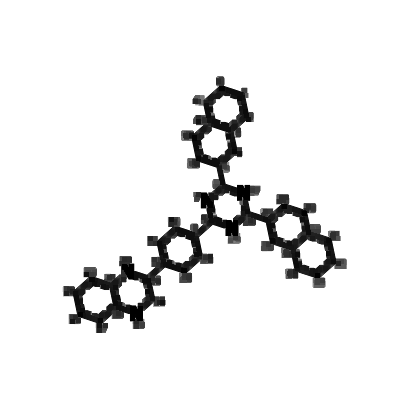 c1ccc2cc(-c3nc(-c4ccc(-c5cnc6ccccc6n5)cc4)nc(-c4ccc5ccccc5c4)n3)ccc2c1